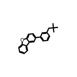 CC(C)(C)Cc1cccc(-c2ccc3oc4ccccc4c3c2)c1